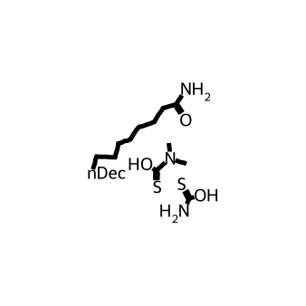 CCCCCCCCCCCCCCCCCC(N)=O.CN(C)C(O)=S.NC(O)=S